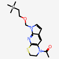 CC(=O)N1CCSc2nc3c(ccn3COCC[Si](C)(C)C)cc21